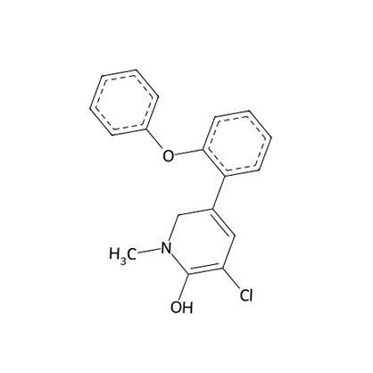 CN1CC(c2ccccc2Oc2ccccc2)=CC(Cl)=C1O